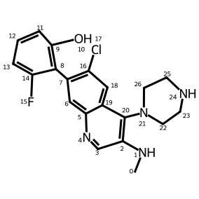 CNc1cnc2cc(-c3c(O)cccc3F)c(Cl)cc2c1N1CCNCC1